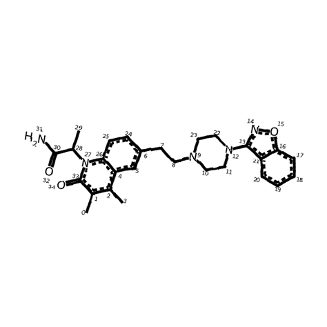 Cc1c(C)c2cc(CCN3CCN(c4noc5ccccc45)CC3)ccc2n(C(C)C(N)=O)c1=O